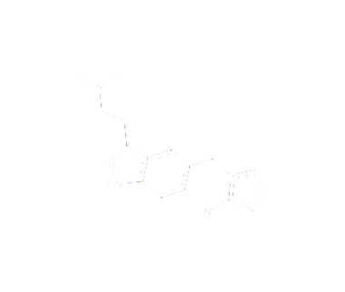 CN(C)CCc1c[nH]c2ccc(Cn3ccnc3[N+](=O)[O-])cc12